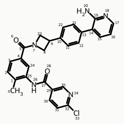 Cc1ccc(C(=O)N2CC(c3ccc(-c4cccnc4N)cc3)C2)cc1NC(=O)c1ccc(Cl)nc1